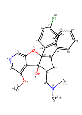 COc1cncc2c1C1(O)C(CN(C)C)CC(c3ccccc3)C1(c1ccc(Br)cc1)O2